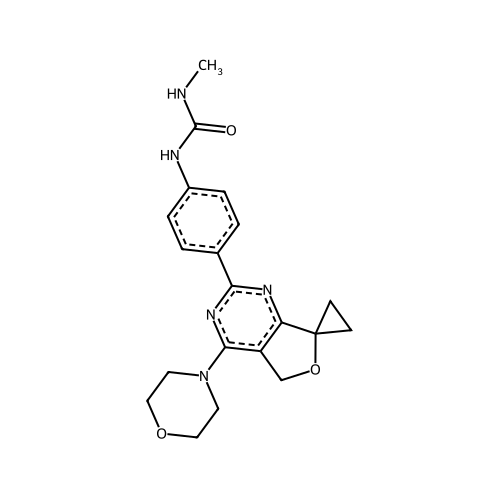 CNC(=O)Nc1ccc(-c2nc(N3CCOCC3)c3c(n2)C2(CC2)OC3)cc1